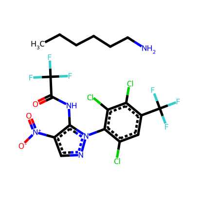 CCCCCCN.O=C(Nc1c([N+](=O)[O-])cnn1-c1c(Cl)cc(C(F)(F)F)c(Cl)c1Cl)C(F)(F)F